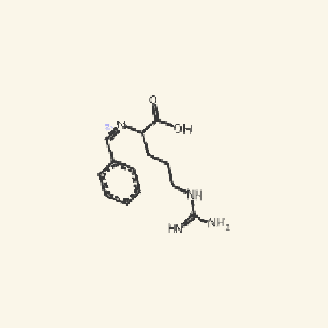 N=C(N)NCCCC(/N=C\c1ccccc1)C(=O)O